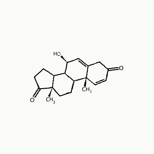 C[C@]12C=CC(=O)CC1=C[C@H](O)C1C2CC[C@]2(C)C(=O)CCC12